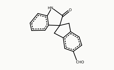 O=Cc1ccc2c(c1)CC1(C2)C(=O)Nc2ccccc21